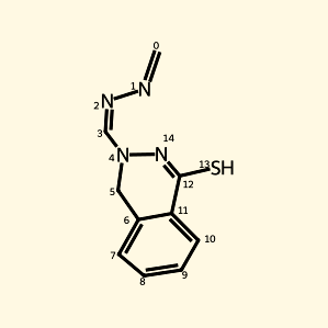 C=N/N=C\N1Cc2ccccc2C(S)=N1